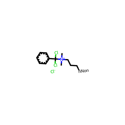 CCCCCCCCCCCC[N+](C)(C)C(Cl)(Cl)c1ccccc1.[Cl-]